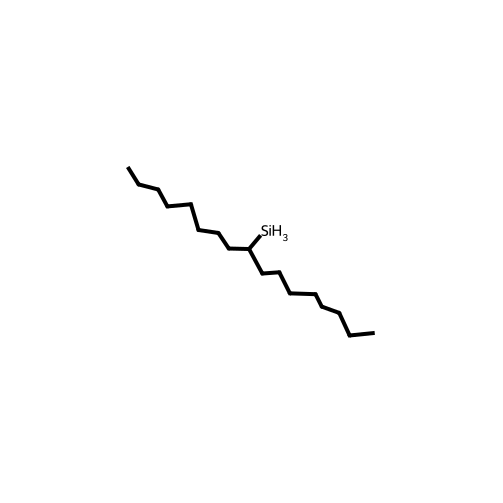 CCCCCCCCC([SiH3])CCCCCCCC